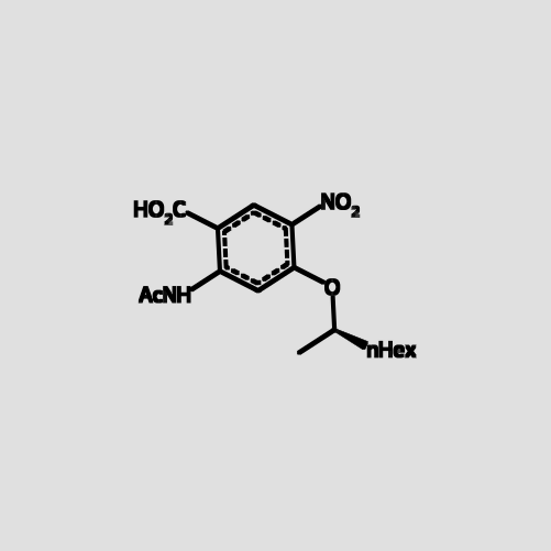 CCCCCC[C@@H](C)Oc1cc(NC(C)=O)c(C(=O)O)cc1[N+](=O)[O-]